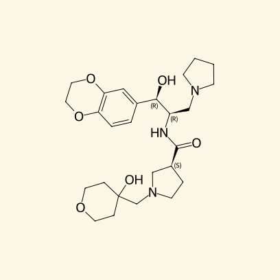 O=C(N[C@H](CN1CCCC1)[C@H](O)c1ccc2c(c1)OCCO2)[C@H]1CCN(CC2(O)CCOCC2)C1